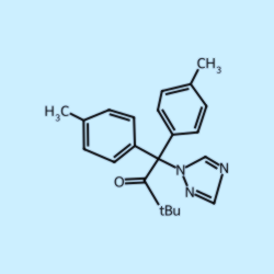 Cc1ccc(C(C(=O)C(C)(C)C)(c2ccc(C)cc2)n2cncn2)cc1